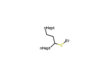 C[CH]SC(CCCCCCC)CCCCCCCCC